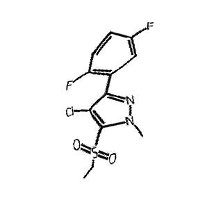 Cn1nc(-c2cc(F)ccc2F)c(Cl)c1S(C)(=O)=O